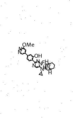 COc1cc(-c2ccc(-c3ncc(N(C4CC4)[C@H]4C[C@@H]5CCC[C@@H](N5)[C@H]4F)nn3)c(O)c2)cnn1